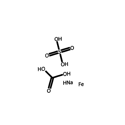 O=C(O)O.O=S(=O)(O)O.[Fe].[NaH]